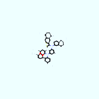 Cc1cc2c3c(c1)N(c1ccc4c(c1)C(C)(C)CCC4(C)C)c1c(sc4cc5c(cc14)C(C)(C)CCC5(C)C)B3c1cc(C(C)(C)C)ccc1N2c1ccc(C(C)(C)C)cc1-c1ccc(C(C)(C)C)cc1